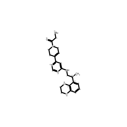 C[C@H](CNc1cc(C2=CCN(C(=O)CC(C)(C)C)CC2)ncn1)c1cccc2c1OCCO2